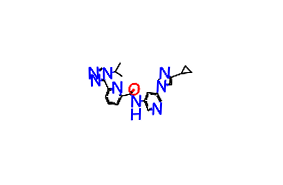 CC(C)n1cnnc1-c1cccc(C(=O)Nc2cncc(-n3cnc(C4CC4)c3)c2)n1